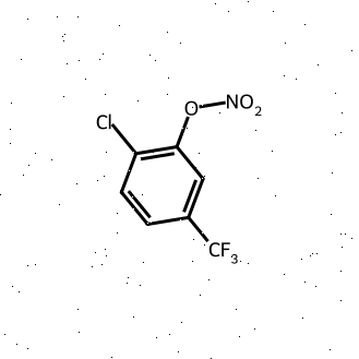 O=[N+]([O-])Oc1cc(C(F)(F)F)ccc1Cl